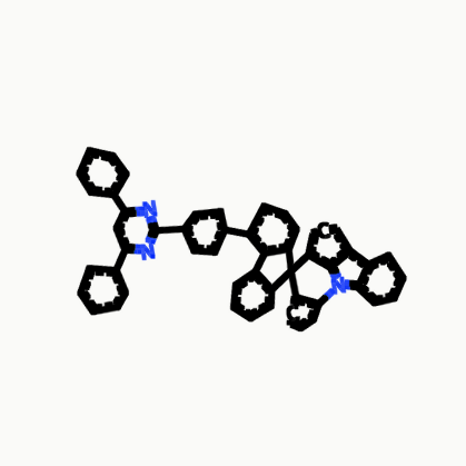 c1ccc(-c2cc(-c3ccccc3)nc(-c3ccc(-c4cccc5c4-c4ccccc4C54c5ccccc5-n5c6ccccc6c6cccc4c65)cc3)n2)cc1